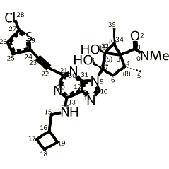 CNC(=O)C12[C@H](C)C[C@](O)(n3cnc4c(NCC5CCC5)nc(C#Cc5ccc(Cl)s5)nc43)[C@]1(O)[C@H]2C